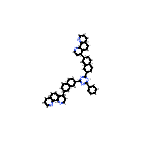 c1ccc(-c2nc(-c3ccc4ccc(-c5ccnc6c5ccc5cccnc56)cc4c3)nc(-c3ccc4ccc(-c5ccnc6c5ccc5cccnc56)cc4c3)n2)cc1